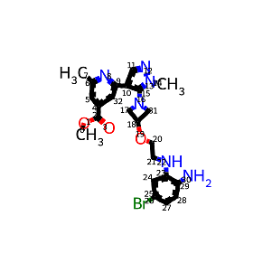 COC(=O)c1cc(C)nc(-c2cnn(C)c2N2CC(OCCNc3cc(Br)ccc3N)C2)c1